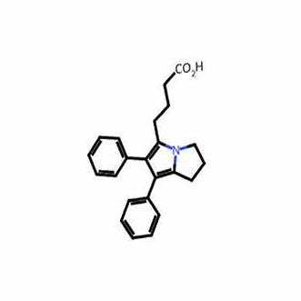 O=C(O)CCCc1c(-c2ccccc2)c(-c2ccccc2)c2n1CCC2